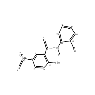 CN(C(=O)c1cc([N+](=O)[O-])ccc1Cl)c1ccccc1F